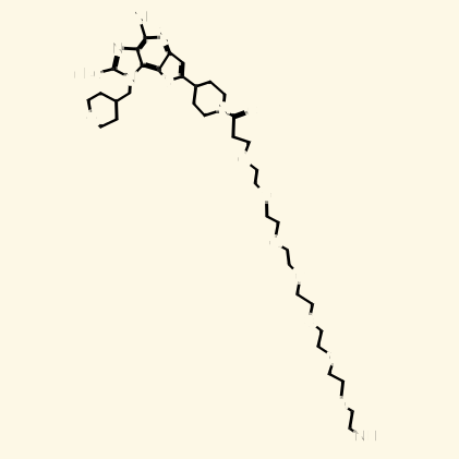 CCCCc1nc2c(N)nc3cc(C4CCN(C(=O)CCOCCOCCOCCOCCOCCOCCOCCN)CC4)sc3c2n1CC1CCOCC1